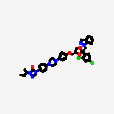 CCC(C)n1ncn(-c2ccc(N3CCN(c4ccc(OC[C@@H]5CO[C@@](Cn6ncc7ccccc76)(c6ccc(Cl)cc6Cl)O5)cc4)CC3)cc2)c1=O